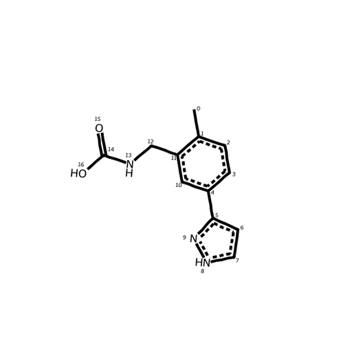 Cc1ccc(-c2cc[nH]n2)cc1CNC(=O)O